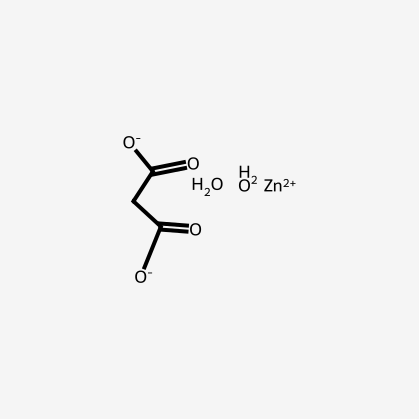 O.O.O=C([O-])CC(=O)[O-].[Zn+2]